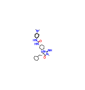 CN1C(=N)N[C@](CCC2CCCCC2)(C[C@H]2CCC[C@@H](NC(=O)Nc3ccc(N(C)C)cc3)C2)C1=O